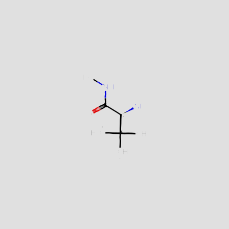 CNC(=O)[C@@H](N)C(C)(C)C